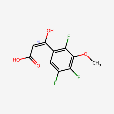 COc1c(F)c(F)cc(/C(O)=C\C(=O)O)c1F